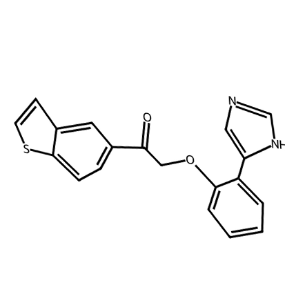 O=C(COc1ccccc1-c1cnc[nH]1)c1ccc2sccc2c1